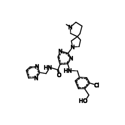 CN1CCCC2(CCN(c3ncc(C(=O)NCc4ncccn4)c(NCc4ccc(CO)c(Cl)c4)n3)C2)C1